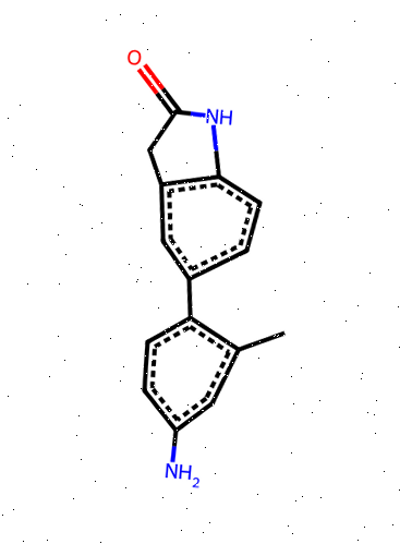 Cc1cc(N)ccc1-c1ccc2c(c1)CC(=O)N2